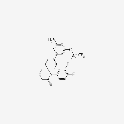 C[C@H](Oc1cc(N2CCC3(CCCC(=O)N3c3ccc(F)c(F)c3)CC2)nc(N)n1)C(F)(F)F